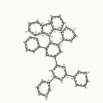 c1ccc(-c2cc(-c3nc(-c4cccnc4)nc(-c4cccnc4)n3)cc(-c3ccccc3)c2-n2c3ccccc3c3ccccc32)cc1